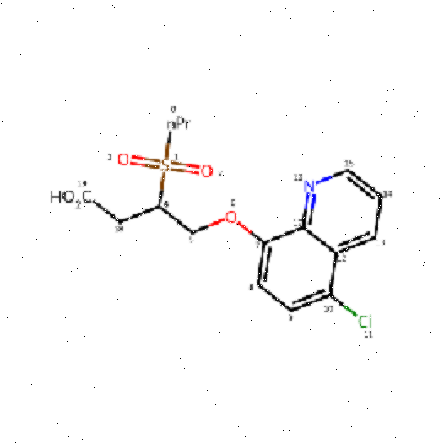 CCCS(=O)(=O)C(COc1ccc(Cl)c2cccnc12)CC(=O)O